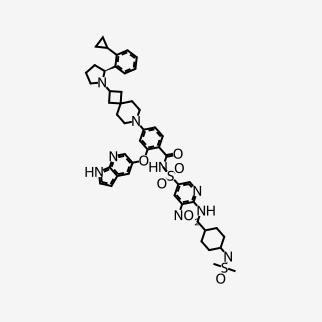 CS(C)(=O)=NC1CCC(CNc2ncc(S(=O)(=O)NC(=O)c3ccc(N4CCC5(CC4)CC(N4CCC[C@H]4c4ccccc4C4CC4)C5)cc3Oc3cnc4[nH]ccc4c3)cc2[N+](=O)[O-])CC1